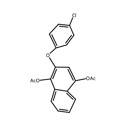 CC(=O)Oc1cc(Oc2ccc(Cl)cc2)c(OC(C)=O)c2ccccc12